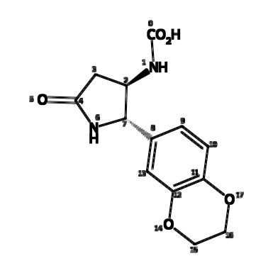 O=C(O)N[C@@H]1CC(=O)N[C@H]1c1ccc2c(c1)OCCO2